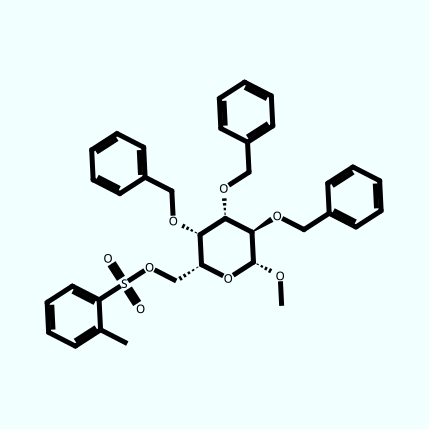 CO[C@@H]1O[C@H](COS(=O)(=O)c2ccccc2C)[C@H](OCc2ccccc2)[C@H](OCc2ccccc2)[C@H]1OCc1ccccc1